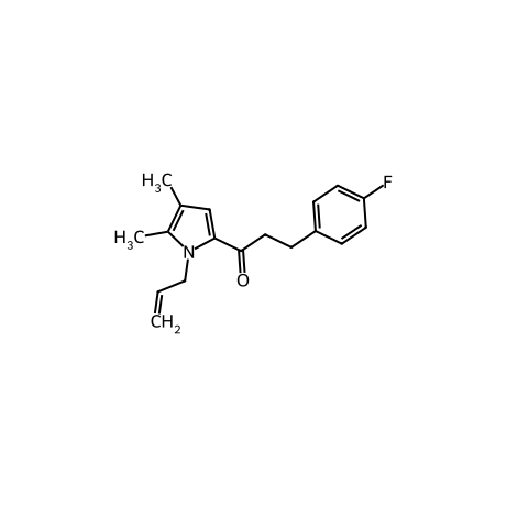 C=CCn1c(C(=O)CCc2ccc(F)cc2)cc(C)c1C